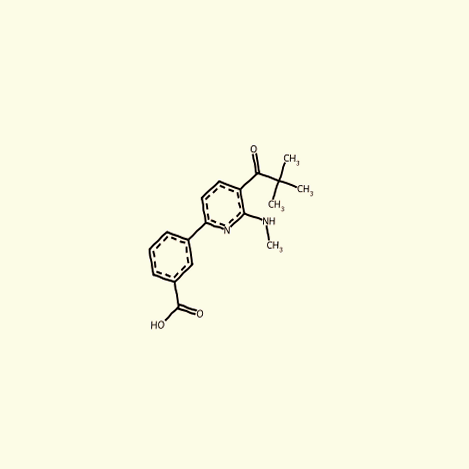 CNc1nc(-c2cccc(C(=O)O)c2)ccc1C(=O)C(C)(C)C